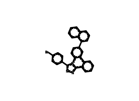 Brc1ccc(-c2nnc3c4ccccc4c4cc(-c5cccc6ccccc56)ccc4n23)cc1